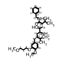 COCCCOc1cc(C[C@@H](CC(N)C(O)C[C@H](C(=O)NCc2ccccc2)C(C)C)C(C)C)ccc1OC